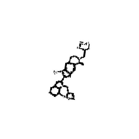 Cn1c(-c2cc3cccc(C#N)c3n2Cc2ccno2)nc2cc3c(cc21)CCN(CC(CF)NC(=O)O)C3=O